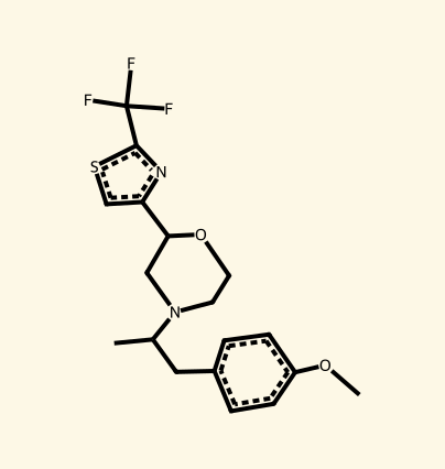 COc1ccc(CC(C)N2CCOC(c3csc(C(F)(F)F)n3)C2)cc1